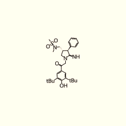 CN(C[C@H]1CN(CC(=O)c2cc(C(C)(C)C)c(O)c(C(C)(C)C)c2)C(=N)[C@@H]1c1ccccc1)S(C)(=O)=O